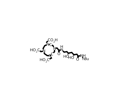 CCCCNC(=O)C[C@H](O)C[C@H](O)CCNC(=O)CN1CCN(CC(=O)O)CCN(CC(=O)O)CCN(CC(=O)O)CC1